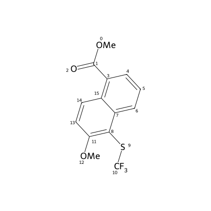 COC(=O)c1cccc2c(SC(F)(F)F)c(OC)ccc12